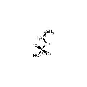 O=S(=O)(O)O[SiH2][SiH3]